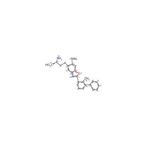 CSc1cc2oc(-c3cccc(-c4ccccc4)c3C)nc2cc1CC[C@H](N)C(=O)O